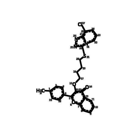 Cc1ccc(-c2oc3ccccc3c(=O)c2OCCCCSc2nnc3c(Cl)cccn23)cc1